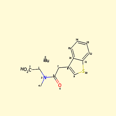 CC[C@H](C)C(C(=O)O)N(C)C(=O)Cc1csc2ccccc12